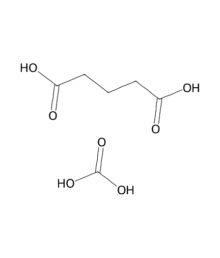 O=C(O)CCCC(=O)O.O=C(O)O